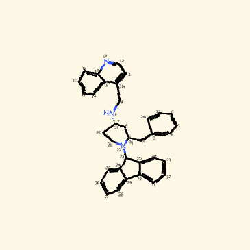 c1ccc(C[C@@H]2C[C@@H](NCc3ccnc4ccccc34)CCN2C2c3ccccc3-c3ccccc32)cc1